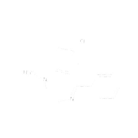 CN1C=CN=C(c2ccccc2)c2cc(Cl)ccc21